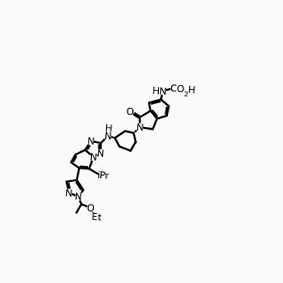 CCOC(C)n1cc(-c2ccc3nc(N[C@@H]4CCC[C@H](N5Cc6ccc(NC(=O)O)cc6C5=O)C4)nn3c2C(C)C)cn1